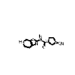 N#CN1CC[C@H](C(=O)Nc2nc3c(s2)CNCC3)C1